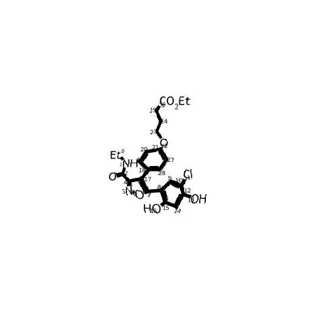 CCNC(=O)c1noc(-c2cc(Cl)c(O)cc2O)c1-c1ccc(OCCCC(=O)OCC)cc1